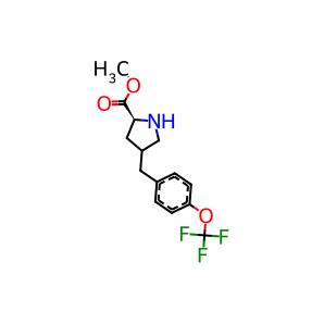 COC(=O)[C@@H]1CC(Cc2ccc(OC(F)(F)F)cc2)CN1